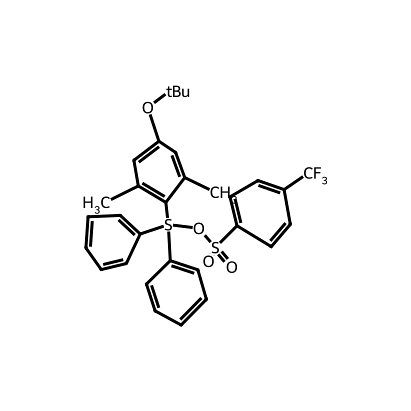 Cc1cc(OC(C)(C)C)cc(C)c1S(OS(=O)(=O)c1ccc(C(F)(F)F)cc1)(c1ccccc1)c1ccccc1